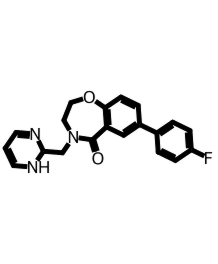 O=C1c2cc(-c3ccc(F)cc3)ccc2OCCN1CC1N=CC=CN1